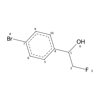 OC(CF)c1ccc(Br)cc1